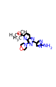 COC(C)(C)c1ccc2nc(-c3cnc(N)nc3)nc(N3CCOCC3)c2n1